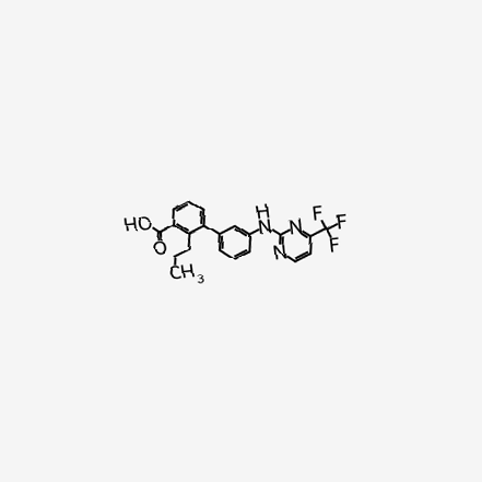 CCCc1c(C(=O)O)cccc1-c1cccc(Nc2nccc(C(F)(F)F)n2)c1